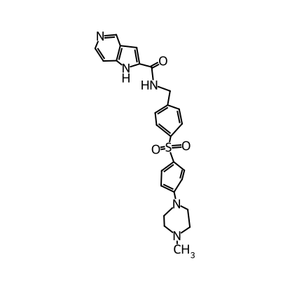 CN1CCN(c2ccc(S(=O)(=O)c3ccc(CNC(=O)c4cc5cnccc5[nH]4)cc3)cc2)CC1